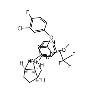 COc1cc(N2C[C@H]3CC[C@@H](C2)[C@H]3Nc2nc(Oc3ccc(F)c(Cl)c3)n(CC(F)(F)F)n2)ccn1